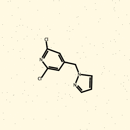 Clc1cc(Cn2cccn2)cc(Cl)n1